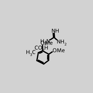 CC(=O)O.COc1ccccc1OC.N=C(N)N